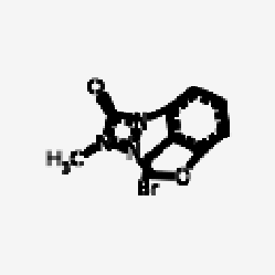 Cn1c(=O)n2n1COc1cccc-2c1CBr